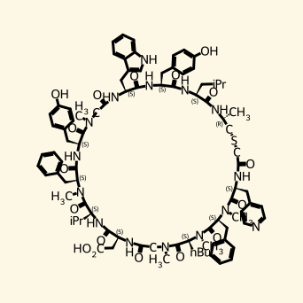 CCCC[C@H]1C(=O)N(C)CC(=O)N[C@@H](CC(=O)O)C(=O)N[C@@H](C(C)C)C(=O)N(C)[C@@H](Cc2ccccc2)C(=O)N[C@@H](Cc2ccc(O)cc2)C(=O)N(C)CC(=O)N[C@@H](Cc2c[nH]c3ccccc23)C(=O)N[C@@H](Cc2ccc(O)cc2)C(=O)N[C@@H](CC(C)C)C(=O)N[C@H](C)CSCC(=O)N[C@@H](Cc2ccncc2)C(=O)N(C)[C@@H](Cc2ccccc2)C(=O)N1C